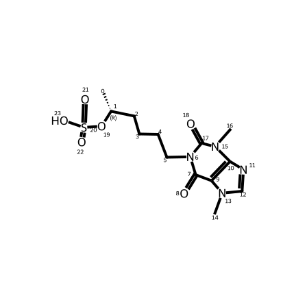 C[C@H](CCCCn1c(=O)c2c(ncn2C)n(C)c1=O)OS(=O)(=O)O